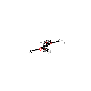 CCCCCCCCCCCCOc1ccc2c(c1)C(CCC)(CCC)c1cc(-c3ccc4c(c3)C(CCC)(CCC)c3cc(OCCCCCCCCCCCC)ccc3-4)ccc1-2